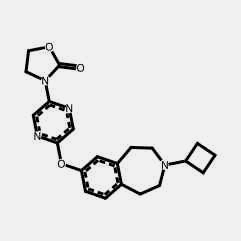 O=C1OCCN1c1cnc(Oc2ccc3c(c2)CCN(C2CCC2)CC3)cn1